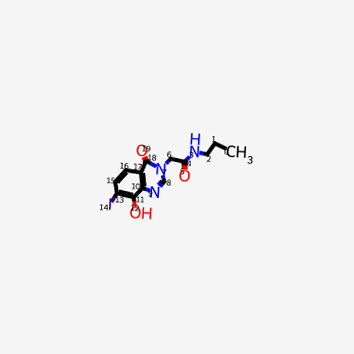 CCCNC(=O)Cn1cnc2c(O)c(I)ccc2c1=O